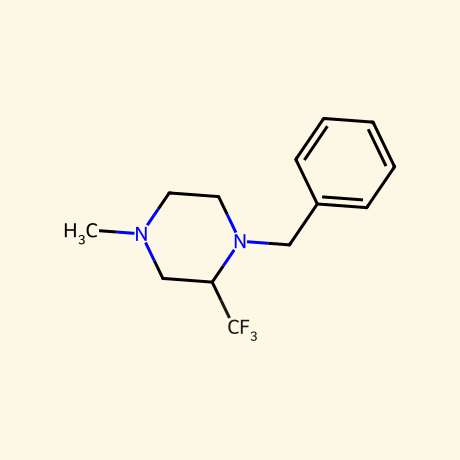 CN1CCN(Cc2ccccc2)C(C(F)(F)F)C1